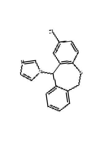 Clc1ccc2c(c1)C(n1ccnc1)c1ccccc1CS2